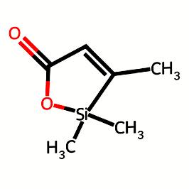 CC1=CC(=O)O[Si]1(C)C